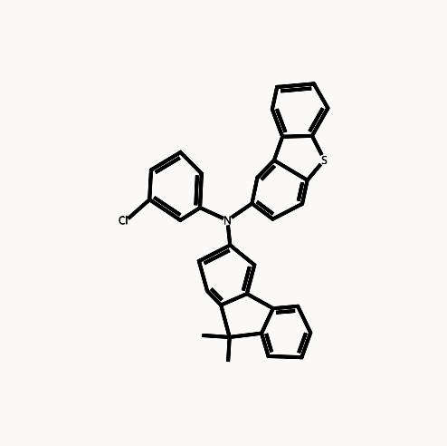 CC1(C)c2ccccc2-c2cc(N(c3cccc(Cl)c3)c3ccc4sc5ccccc5c4c3)ccc21